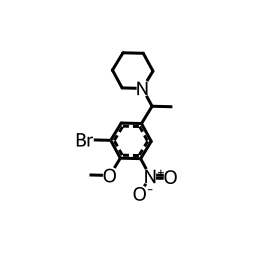 COc1c(Br)cc(C(C)N2CCCCC2)cc1[N+](=O)[O-]